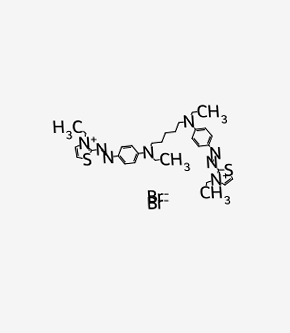 CCN(CCCCCN(CC)c1ccc(N=Nc2scc[n+]2CC)cc1)c1ccc(N=Nc2scc[n+]2CC)cc1.[Br-].[Br-]